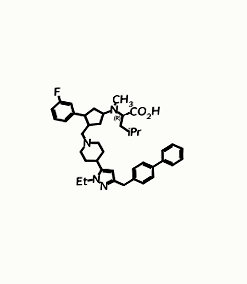 CCn1nc(Cc2ccc(-c3ccccc3)cc2)cc1C1CCN(CC2CC(N(C)[C@H](CC(C)C)C(=O)O)CC2c2cccc(F)c2)CC1